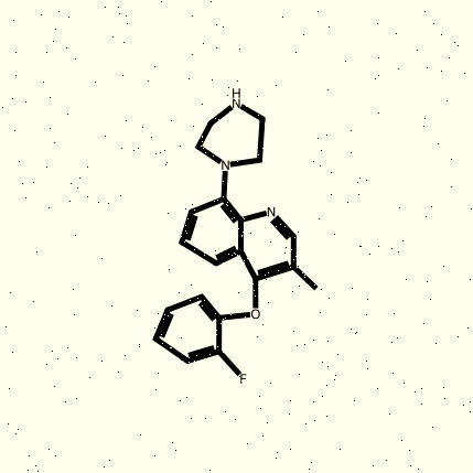 Cc1cnc2c(N3CCNCC3)cccc2c1Oc1ccccc1F